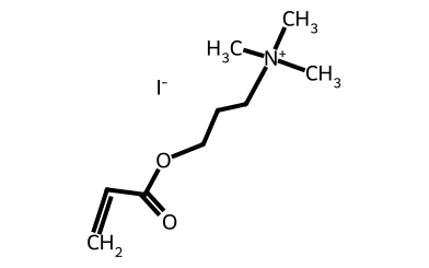 C=CC(=O)OCCC[N+](C)(C)C.[I-]